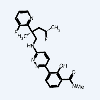 CNC(=O)c1cccc(-c2ccc(NC[C@](C)(C[C@H](C)F)c3ncccc3F)nn2)c1O